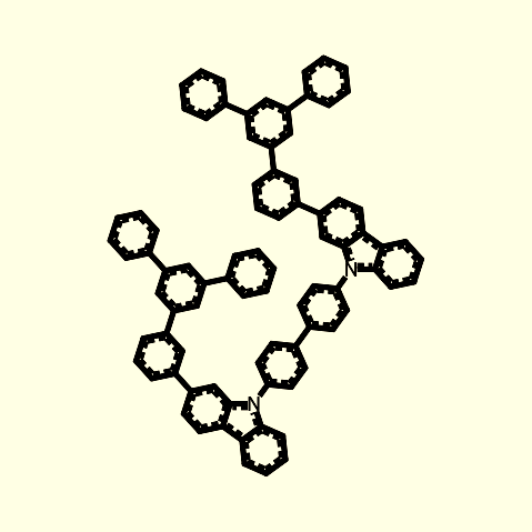 c1ccc(-c2cc(-c3ccccc3)cc(-c3cccc(-c4ccc5c6ccccc6n(-c6ccc(-c7ccc(-n8c9ccccc9c9ccc(-c%10cccc(-c%11cc(-c%12ccccc%12)cc(-c%12ccccc%12)c%11)c%10)cc98)cc7)cc6)c5c4)c3)c2)cc1